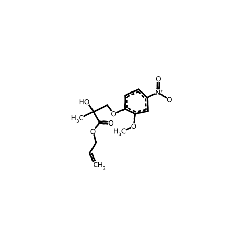 C=CCOC(=O)C(C)(O)COc1ccc([N+](=O)[O-])cc1OC